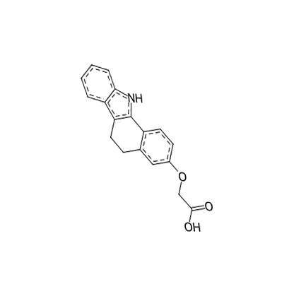 O=C(O)COc1ccc2c(c1)CCc1c-2[nH]c2ccccc12